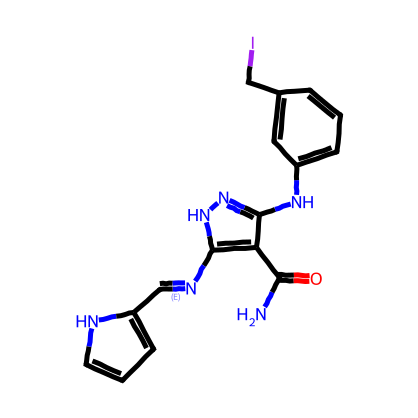 NC(=O)c1c(Nc2cccc(CI)c2)n[nH]c1/N=C/c1ccc[nH]1